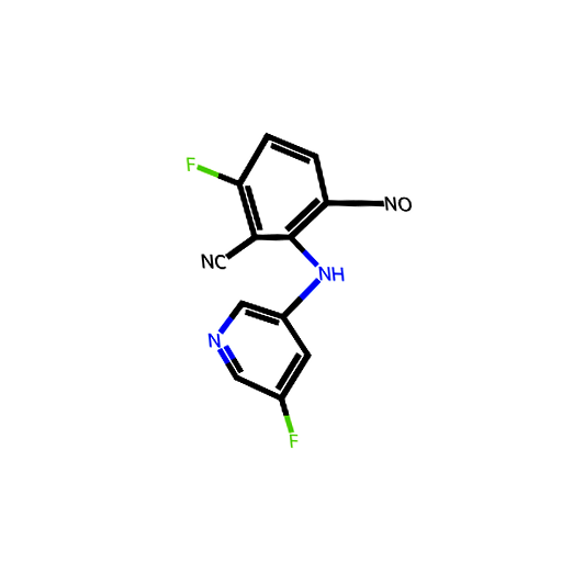 N#Cc1c(F)ccc(N=O)c1Nc1cncc(F)c1